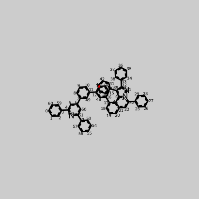 c1ccc(-c2cc(-c3cccc(-c4cccc(-c5cccc6cc(-c7ccccc7)n7nc(-c8ccccc8)c(-c8ccccc8)c7c56)c4)c3)cc(-c3ccccc3)n2)cc1